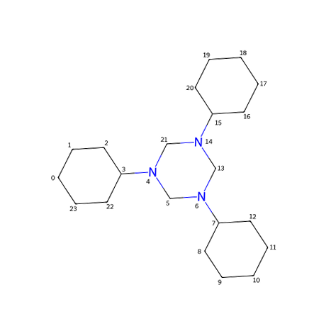 C1CCC(N2CN(C3CCCCC3)CN(C3CCCCC3)C2)CC1